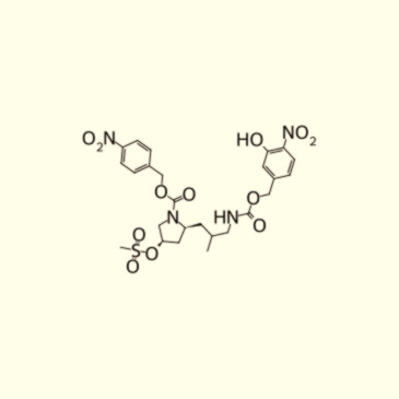 CC(CNC(=O)OCc1ccc([N+](=O)[O-])c(O)c1)C[C@H]1C[C@@H](OS(C)(=O)=O)CN1C(=O)OCc1ccc([N+](=O)[O-])cc1